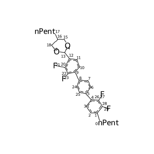 CCCCCc1ccc(-c2ccc(-c3ccc(C4OCC(CCCCC)CO4)c(F)c3F)cc2)c(F)c1F